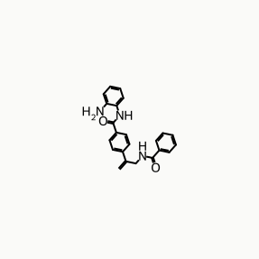 C=C(CNC(=O)c1ccccc1)c1ccc(C(=O)Nc2ccccc2N)cc1